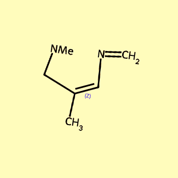 C=N/C=C(/C)CNC